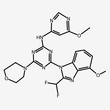 COc1cc(Nc2nc(N3CCOCC3)nc(-n3c(C(F)F)nc4c(OC)cccc43)n2)ncn1